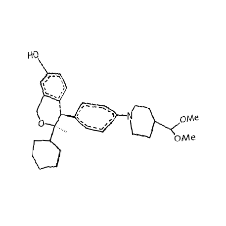 COC(OC)C1CCN(c2ccc([C@@H]3c4ccc(O)cc4CO[C@]3(C)C3CCCCC3)cc2)CC1